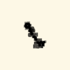 Cc1cnc(O)c(C(=O)NCCCNC(=O)c2cc(-c3ccccc3)on2)c1